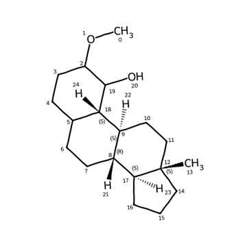 COC1CCC2CC[C@@H]3[C@H](CC[C@]4(C)CCC[C@@H]34)[C@H]2C1O